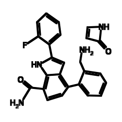 NCc1ccccc1-c1ccc(C(N)=O)c2[nH]c(-c3ccccc3F)cc12.O=C1C=CN1